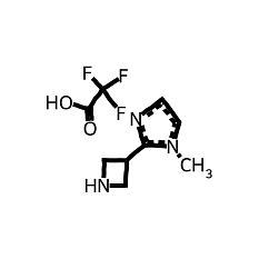 Cn1ccnc1C1CNC1.O=C(O)C(F)(F)F